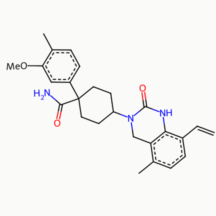 C=Cc1ccc(C)c2c1NC(=O)N(C1CCC(C(N)=O)(c3ccc(C)c(OC)c3)CC1)C2